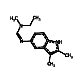 CCN(C)/C=N\c1ccc2[nH]c(C)c(C)c2c1